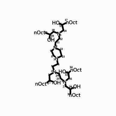 CCCCCCCCC(O)CN(CCN1CCN(CCN(CC(O)CCCCCCCC)CC(O)CCCCCCCC)CC1)CCN(CC(O)CCCCCCCC)CC(O)CCCCCCCC